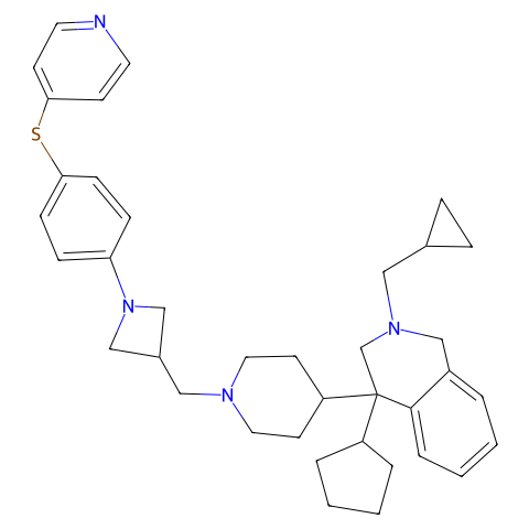 c1ccc2c(c1)CN(CC1CC1)CC2(C1CCCC1)C1CCN(CC2CN(c3ccc(Sc4ccncc4)cc3)C2)CC1